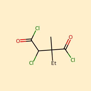 CCC(C)(C(=O)Cl)C(Cl)C(=O)Cl